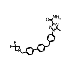 Cc1nc(C(N)=O)nn1-c1ccc(Cc2ccc(-c3ccc(CN4CC(F)(F)C4)cc3)cc2)cc1